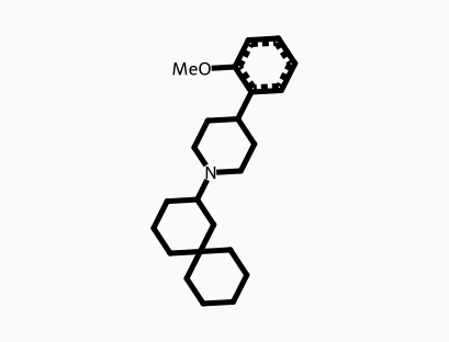 COc1ccccc1C1CCN(C2CCCC3(CCCCC3)C2)CC1